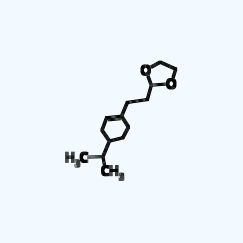 CC(C)C1CC=C(CCC2OCCO2)CC1